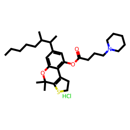 CCCCCC(C)C(C)c1cc(OC(=O)CCCN2CCCCC2)c2c(c1)OC(C)(C)C1=C2CCS1.Cl